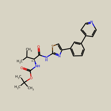 CC(C)[C@H](NC(=O)OC(C)(C)C)C(=O)Nc1nc(-c2cccc(-c3ccncc3)c2)cs1